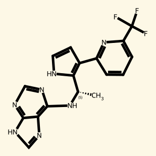 C[C@H](Nc1ncnc2[nH]cnc12)c1[nH]ccc1-c1cccc(C(F)(F)F)n1